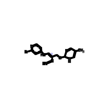 CC1=CNC(OC/C(=C/Nc2ccnc(Br)c2)N=N)N=C1